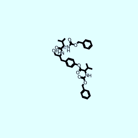 CC(C)C(NC(=O)OCc1ccccc1)C(=O)Oc1ccc(CC(CO)NC(=O)[C@@H](NC(=O)OCc2ccccc2)C(C)C)cc1